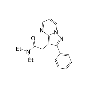 CCN(CC)C(=O)Cc1c(-c2ccccc2)nn2cccnc12